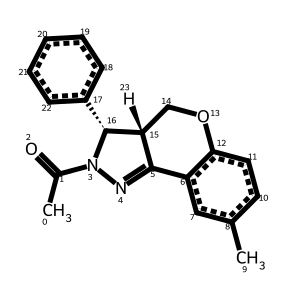 CC(=O)N1N=C2c3cc(C)ccc3OC[C@H]2[C@H]1c1ccccc1